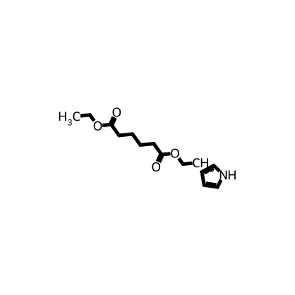 CCOC(=O)CCCCC(=O)OCC.c1cc[nH]c1